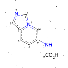 O=C(O)Nc1ccc2cncn2c1